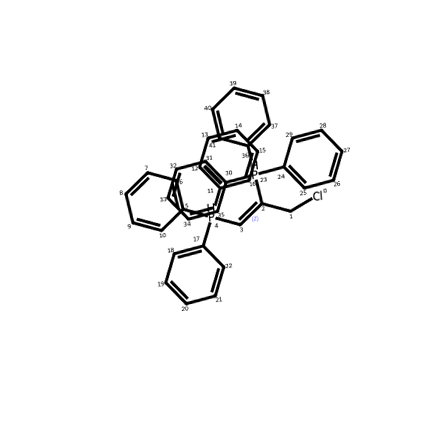 ClC/C(=C/[PH](c1ccccc1)(c1ccccc1)c1ccccc1)[PH](c1ccccc1)(c1ccccc1)c1ccccc1